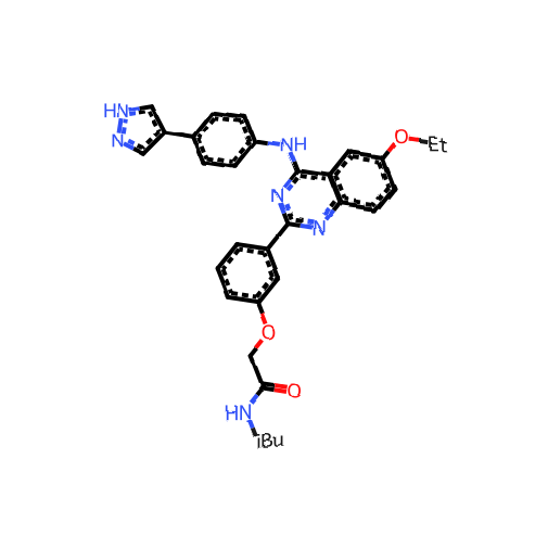 CCOc1ccc2nc(-c3cccc(OCC(=O)NC(C)CC)c3)nc(Nc3ccc(-c4cn[nH]c4)cc3)c2c1